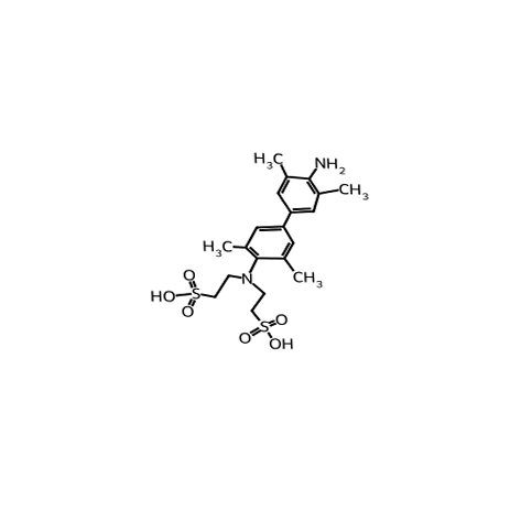 Cc1cc(-c2cc(C)c(N(CCS(=O)(=O)O)CCS(=O)(=O)O)c(C)c2)cc(C)c1N